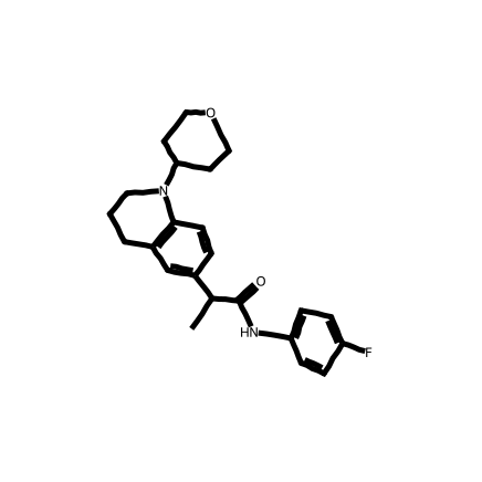 CC(C(=O)Nc1ccc(F)cc1)c1ccc2c(c1)CCCN2C1CCOCC1